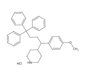 COc1ccc(C(CCC(c2ccccc2)(c2ccccc2)c2ccccc2)C2CCNCC2)cc1.Cl